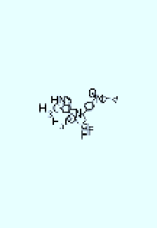 COc1cc(C)c2[nH]ccc2c1CN1CCC2(CC1c1ccc(C(=O)N3CC(C4CC4)C3)cc1)CC(F)(F)C2